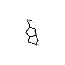 NC1C=C2CNCC2C1